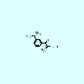 C=C(C(=O)O)C(=O)c1cccc(N(C)C)c1